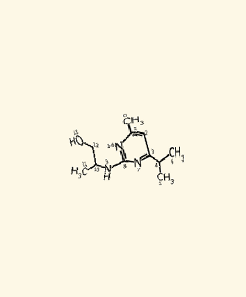 Cc1cc(C(C)C)nc(NC(C)CO)n1